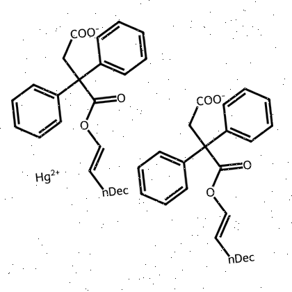 CCCCCCCCCCC=COC(=O)C(CC(=O)[O-])(c1ccccc1)c1ccccc1.CCCCCCCCCCC=COC(=O)C(CC(=O)[O-])(c1ccccc1)c1ccccc1.[Hg+2]